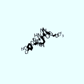 N#Cc1cc(OCC(=O)N[Si@H]2CC[C@H](c3nnc(OCCOC(F)(F)F)o3)NC2)ccc1Cl